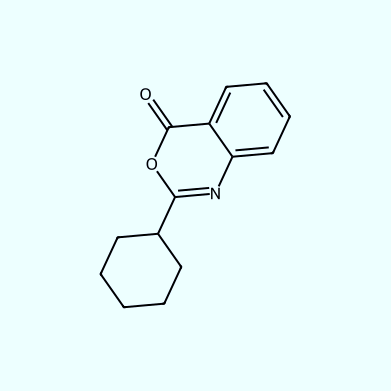 O=c1oc(C2CCCCC2)nc2ccccc12